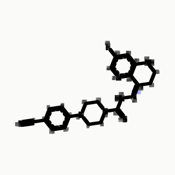 N#Cc1ccc(N2CCN(C(=S)N/N=C3/CCNc4cc(F)cnc43)CC2)cc1